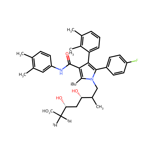 [2H]C([2H])(C(=O)O)[C@H](O)C[C@H](O)C(C)Cn1c(-c2ccc(F)cc2)c(-c2cccc(C)c2C)c(C(=O)Nc2ccc(C)c(C)c2)c1C(C)CC